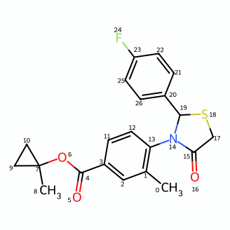 Cc1cc(C(=O)OC2(C)CC2)ccc1N1C(=O)CSC1c1ccc(F)cc1